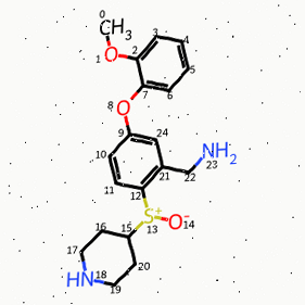 COc1ccccc1Oc1ccc([S+]([O-])C2CCNCC2)c(CN)c1